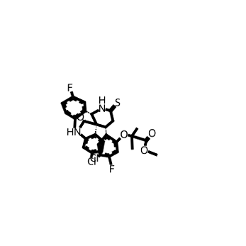 COC(=O)C(C)(C)Oc1cc(F)c(Cl)cc1[C@H]1CC(=S)N[C@@H](c2cc(F)ccc2C)[C@]12C(=O)Nc1cc(Cl)ccc12